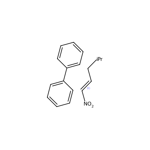 CC(C)C/C=C/[N+](=O)[O-].c1ccc(-c2ccccc2)cc1